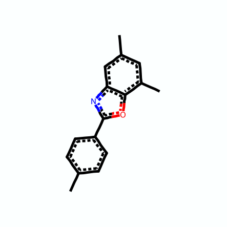 Cc1ccc(-c2nc3cc(C)cc(C)c3o2)cc1